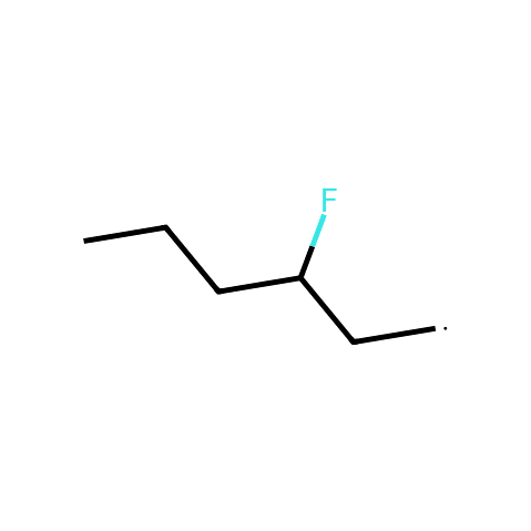 [CH2]CC(F)CCC